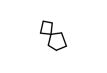 [CH]1CCC2(C1)CCC2